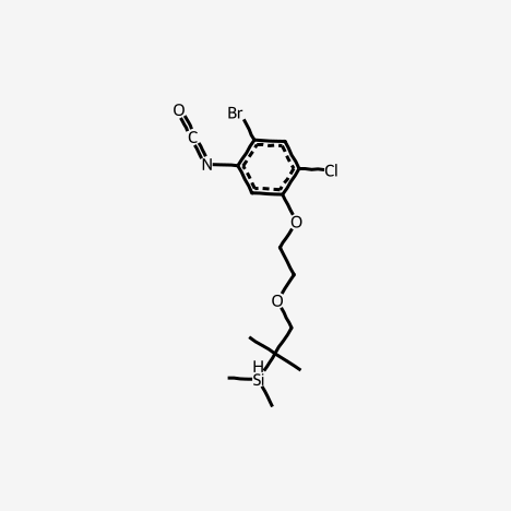 C[SiH](C)C(C)(C)COCCOc1cc(N=C=O)c(Br)cc1Cl